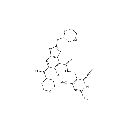 CCc1c(N(CC)C2CCOCC2)cc2oc(CC3CNCCO3)cc2c1C(=O)NCC1=C(OC)C=C(C)NC1=C=O